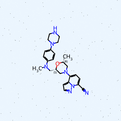 C[C@@H]1CN(c2ccc(C#N)n3nccc23)C[C@H](CN(C)c2ccc(N3CCNCC3)cc2)O1